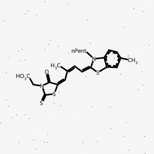 CCCCCN1C(=CC=C(C)C=C2SC(=S)N(CC(=O)O)C2=O)Sc2cc(C)ccc21